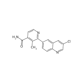 Cc1c(C(N)=O)ccnc1-c1ccc2ncc(Cl)cc2c1